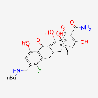 CCCCNCc1cc(O)c2c(c1F)CC1C[C@H]3CC(O)=C(C(N)=O)C(=O)[C@@]3(O)C(O)=C1C2=O